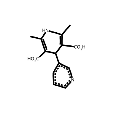 CC1=C(C(=O)O)C(c2cccnc2)C(C(=O)O)=C(C)N1